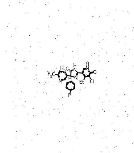 CCc1c(C2=N[C@@](c3ccc(F)cc3)(c3ccc(C(F)(F)F)nc3)[C@H](C)N2)c[nH]c(=O)c1Cl